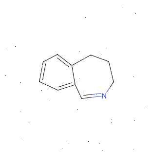 C1=NCCCc2ccccc21